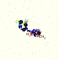 COc1cccc(OC)c1-c1cc(N(C)C2(C(=O)NCCCn3cc(-c4ccc(OC(F)(F)F)cc4)c4cc(CN5CCN(Cc6c(Cl)cccc6Cl)CC5)ccc43)CCNCC2)ccn1